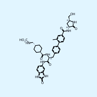 Cc1cc(C(=O)N[C@@H]2C[C@@H](CO)NC2=O)ccc1-c1ccc(C[C@H](NC(=O)[C@H]2CC[C@H](CNC(=O)O)CC2)C(=O)Nc2ccc3[nH]c(=O)[nH]c3c2)cc1